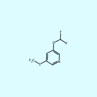 FC(F)Oc1cn[c]c(SC(F)(F)F)c1